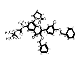 CN(C(=O)OC(C)(C)C)c1cc(N2CCCS2(=O)=O)c2oc(-c3ccc(OCc4ccccc4)c(Cl)c3)c(OCc3ccccc3)c(=O)c2c1